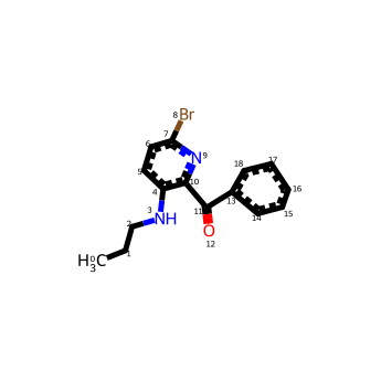 CCCNc1ccc(Br)nc1C(=O)c1ccccc1